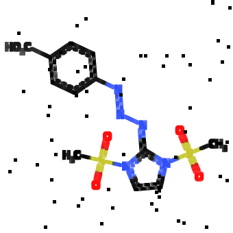 CS(=O)(=O)n1ccn(S(C)(=O)=O)c1=NN=Nc1ccc(C(=O)O)cc1